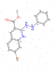 COC(=O)c1cc2ccc(Br)cc2nc1NNc1ccccc1